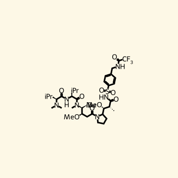 CC[C@H](C)[C@@H]([C@@H](CC(=O)N1CCCC1[C@H](OC)[C@@H](C)C(=O)NS(=O)(=O)c1ccc(CNC(=O)C(F)(F)F)cc1)OC)N(C)C(=O)[C@@H](NC(=O)[C@H](C(C)C)N(C)C)C(C)C